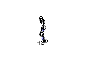 O=C(O)/C=C/c1cccc(/C=N/OCCN2CCOCC2)c1